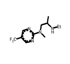 CCNC(C)CN(C)c1ncc(C(F)(F)F)cn1